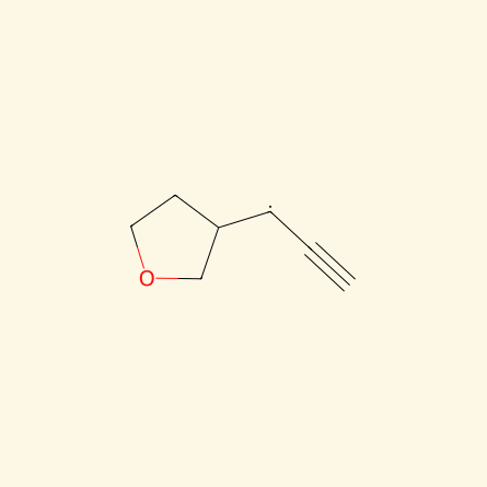 C#C[CH]C1CCOC1